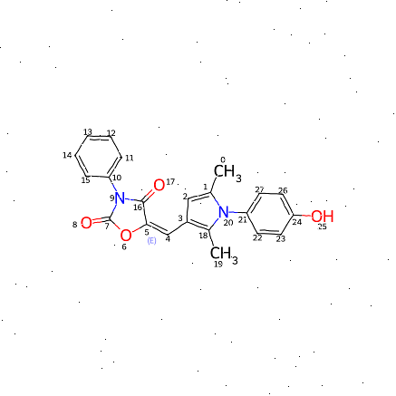 Cc1cc(/C=C2/OC(=O)N(c3ccccc3)C2=O)c(C)n1-c1ccc(O)cc1